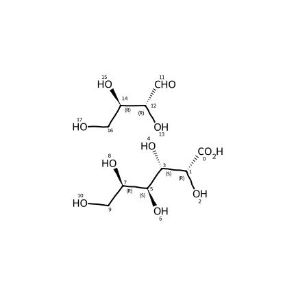 O=C(O)[C@H](O)[C@@H](O)[C@@H](O)[C@H](O)CO.O=C[C@H](O)[C@H](O)CO